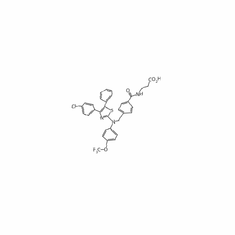 O=C(O)CCNC(=O)c1ccc(CN(c2ccc(OC(F)(F)F)cc2)c2nc(-c3ccc(Cl)cc3)c(-c3ccccc3)s2)cc1